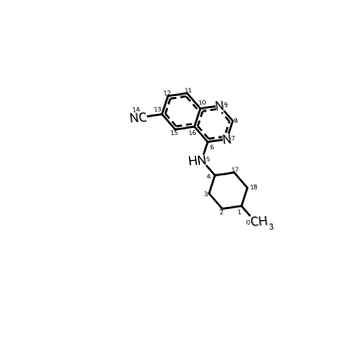 CC1CCC(Nc2ncnc3ccc(C#N)cc23)CC1